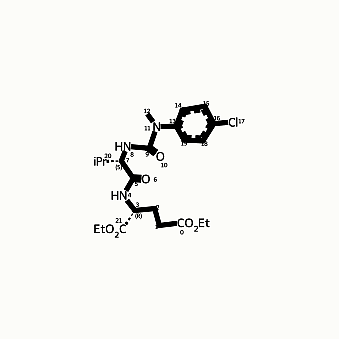 CCOC(=O)CC[C@@H](NC(=O)[C@@H](NC(=O)N(C)c1ccc(Cl)cc1)C(C)C)C(=O)OCC